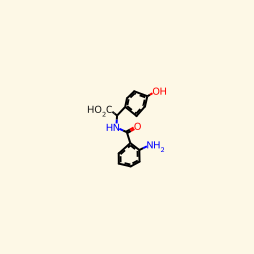 Nc1ccccc1C(=O)NC(C(=O)O)c1ccc(O)cc1